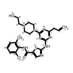 C=CCc1nc(Nc2ncc(C(=O)Nc3c(C)cccc3Cl)s2)nc(N2CCN(CCO)CC2)n1